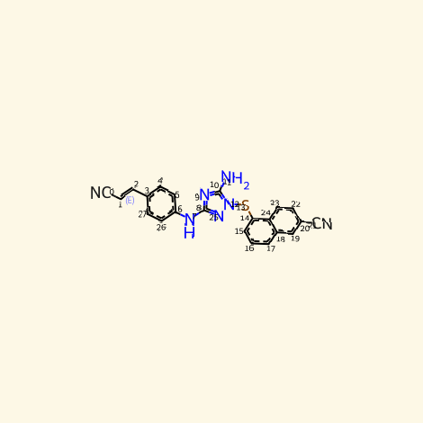 N#C/C=C/c1ccc(Nc2nc(N)n(Sc3cccc4cc(C#N)ccc34)n2)cc1